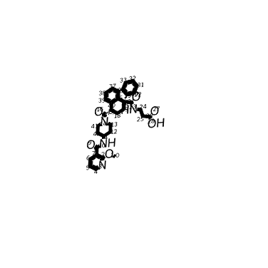 COc1ncccc1C(=O)NC1CCN(C(=O)[C@H]2CC[C@@](C(=O)NCCC(=O)O)(c3ccccc3)c3ccccc32)CC1